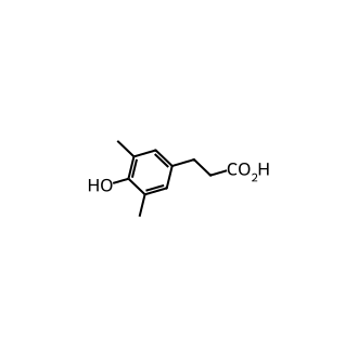 Cc1cc(CCC(=O)O)cc(C)c1O